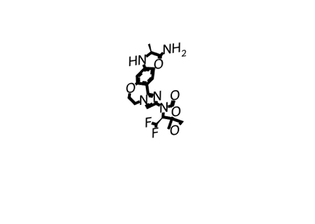 C[C@H](Nc1ccc2c(c1)OCCn1cc(N3C(=O)OC4(COC4)[C@H]3C(F)F)nc1-2)C(N)=O